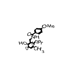 CCCn1c(C)cc(=O)c(O)c1CNC(=O)c1ccc(OC)cc1